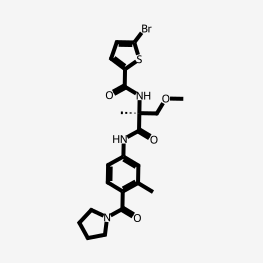 COC[C@](C)(NC(=O)c1ccc(Br)s1)C(=O)Nc1ccc(C(=O)N2CCCC2)c(C)c1